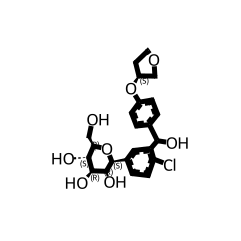 OC[C@H]1O[C@@H](c2ccc(Cl)c(C(O)c3ccc(O[C@H]4CCOC4)cc3)c2)[C@H](O)[C@@H](O)[C@@H]1O